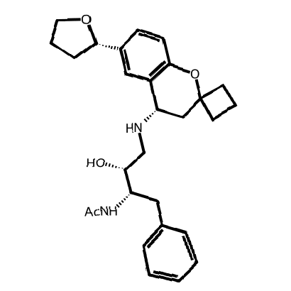 CC(=O)N[C@@H](Cc1ccccc1)[C@H](O)CN[C@H]1CC2(CCC2)Oc2ccc([C@@H]3CCCO3)cc21